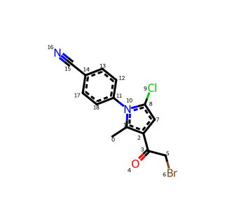 Cc1c(C(=O)CBr)cc(Cl)n1-c1ccc(C#N)cc1